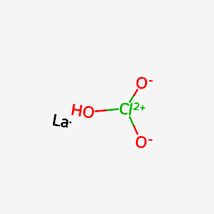 [La].[O-][Cl+2]([O-])O